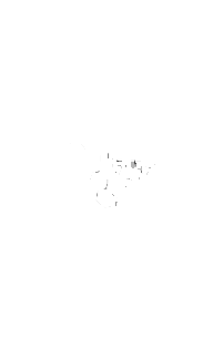 C=CCc1cc2ccccc2c(S(=O)(=O)[O-])c1CCCCC.[Na+]